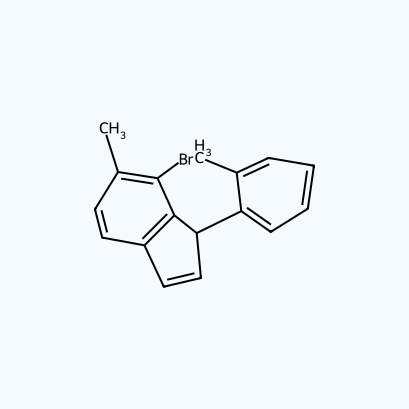 Cc1ccccc1C1C=Cc2ccc(C)c(Br)c21